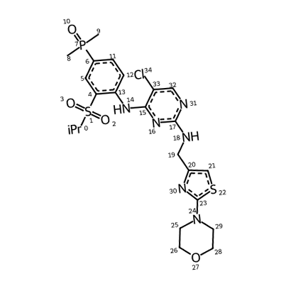 CC(C)S(=O)(=O)c1cc(P(C)(C)=O)ccc1Nc1nc(NCc2csc(N3CCOCC3)n2)ncc1Cl